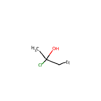 CCCC(C)(O)Cl